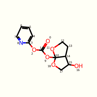 O=C(Oc1ccccn1)OC12OCCC1C(O)CO2